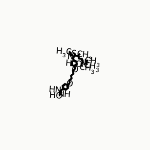 Cc1nc(-c2ccc(OCCCCCOc3ccc(C(=N)NO)cc3)cc2)c(C(C)CCN(C(C)C)C(C)C)s1